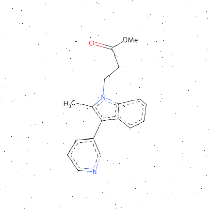 COC(=O)CCn1c(C)c(-c2cccnc2)c2ccccc21